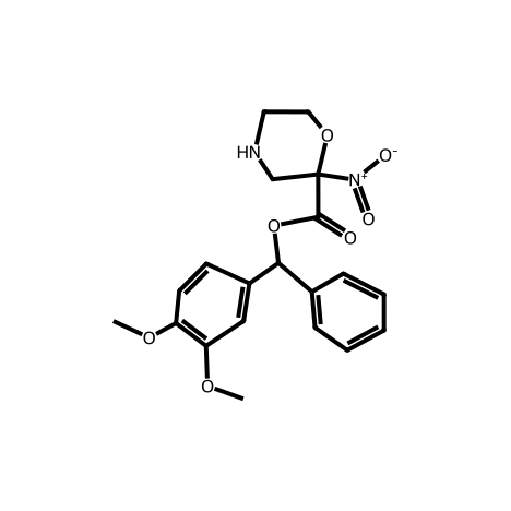 COc1ccc(C(OC(=O)C2([N+](=O)[O-])CNCCO2)c2ccccc2)cc1OC